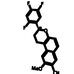 COc1cc2c3c(ccc2cc1C#N)O[C@H](c1cc(F)c(F)cc1F)CC3